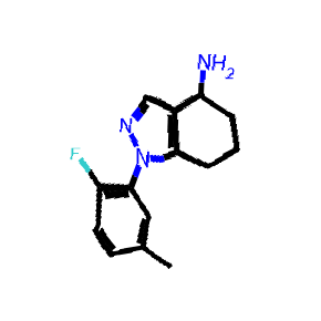 Cc1ccc(F)c(-n2ncc3c2CCCC3N)c1